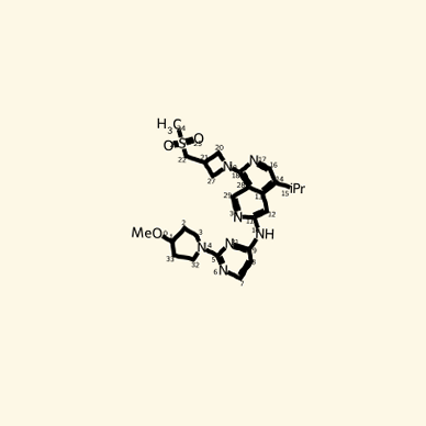 COC1CCN(c2nccc(Nc3cc4c(C(C)C)cnc(N5CC(CS(C)(=O)=O)C5)c4cn3)n2)CC1